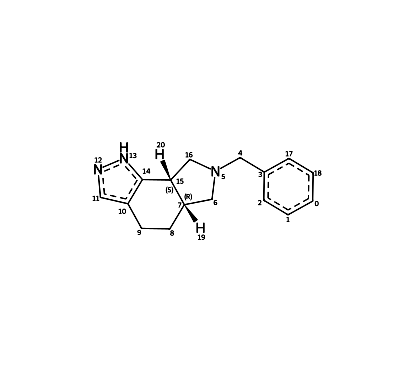 c1ccc(CN2C[C@@H]3CCc4cn[nH]c4[C@@H]3C2)cc1